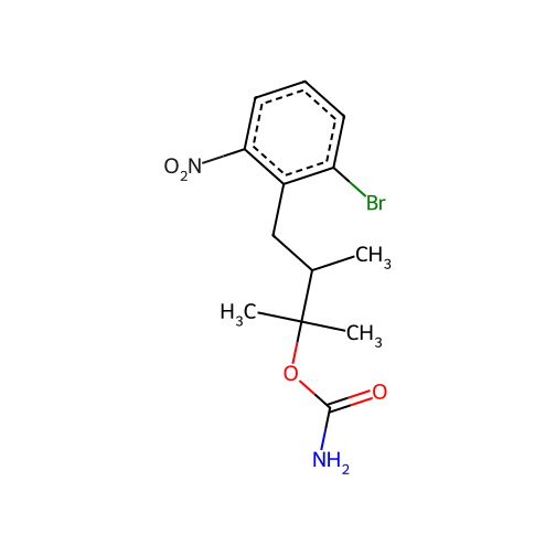 CC(Cc1c(Br)cccc1[N+](=O)[O-])C(C)(C)OC(N)=O